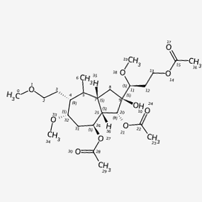 COCC[C@@H]1C(C)[C@@H]2C[C@](O)([C@H](CCOC(C)=O)OC)[C@H](OC(C)=O)[C@@H]2[C@@H](OC(C)=O)C[C@@H]1OC